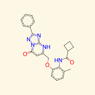 Cc1cccc(OCc2cc(=O)n3nc(-c4ccccc4)nc3[nH]2)c1NC(=O)C1CCC1